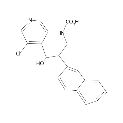 O=C(O)NCC(c1ccc2ccccc2c1)C(O)c1ccncc1Cl